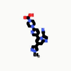 Cn1cc(-c2cc(-c3ccc(N4CCN(C(=O)O)CC4)nc3)n3c(C#N)cnc3c2)cn1